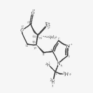 [2H]C([2H])([2H])n1cncc1C[C@H]1COC(=O)[C@@]1([2H])CC